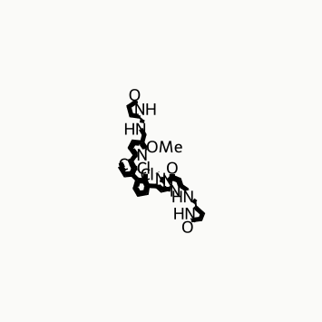 COc1nc(-c2cccc(-c3cccc(-c4cc5nc(CNC[C@H]6CCC(=O)N6)cc(=O)n5n4C)c3Cl)c2Cl)ccc1CNC[C@H]1CCC(=O)N1